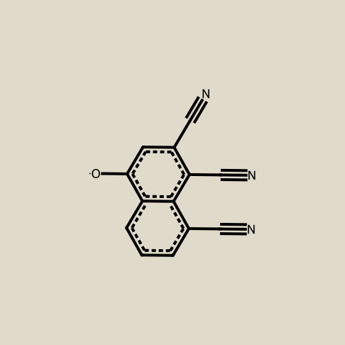 N#Cc1cc([O])c2cccc(C#N)c2c1C#N